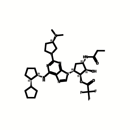 CCC(=O)N[C@H]1C[C@@H](n2cnc3c(N[C@H]4CCC[C@H]4C4CCCC4)nc(N4CC[C@@H](N(C)C)C4)nc32)[C@H](OC(=O)C(F)(F)F)[C@@H]1O